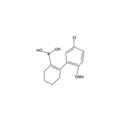 COc1ccc(Cl)cc1C1=C(B(O)O)CCCC1